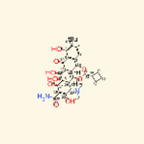 C[C@@H]1c2ccc(C(C)(C)C)c(O)c2C(=O)C2=C(O)[C@@]3(O)C(=O)C(C(N)=O)=C(O)[C@@H](N(C)C)[C@@H]3[C@H](OC(=O)C3CCC3)[C@H]21